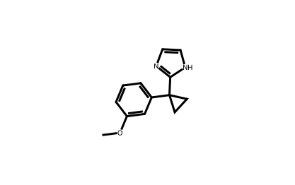 COc1cccc(C2(c3ncc[nH]3)CC2)c1